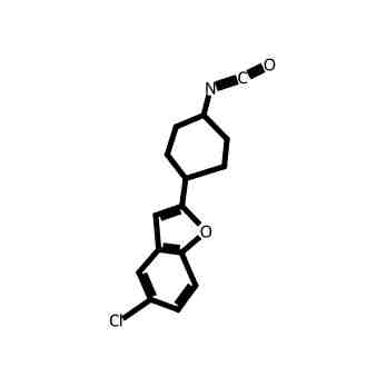 O=C=NC1CCC(c2cc3cc(Cl)ccc3o2)CC1